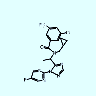 CC(c1ncnn1-c1ncc(F)cn1)N(CC1CC1)C(=O)c1cc(Cl)cc(C(F)(F)F)c1